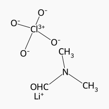 CN(C)C=O.[Li+].[O-][Cl+3]([O-])([O-])[O-]